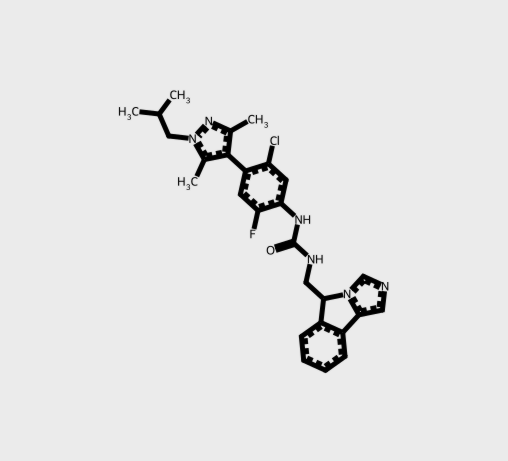 Cc1nn(CC(C)C)c(C)c1-c1cc(F)c(NC(=O)NCC2c3ccccc3-c3cncn32)cc1Cl